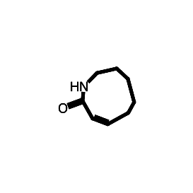 O=C1C=CCCCCCN1